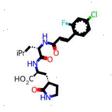 CC(C)C[C@H](NC(=O)/C=C/c1ccc(Cl)cc1F)C(=O)N[C@@H](C[C@@H]1CCNC1=O)C(=O)O